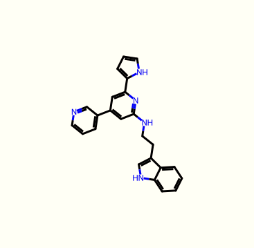 c1cncc(-c2cc(NCCc3c[nH]c4ccccc34)nc(-c3ccc[nH]3)c2)c1